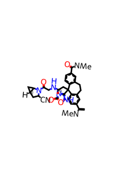 C=C(NC)c1ccc2c(c1)CCc1cc(C(=O)NC)ccc1C2(C[C@@H](C)NCC(=O)N1C(C#N)C[C@@H]2CC21)c1nc(=O)o[nH]1